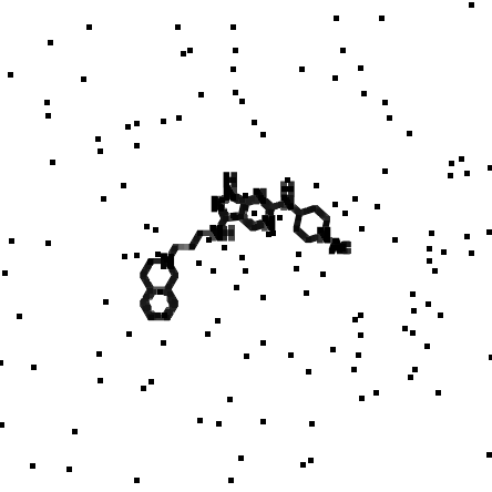 CC(=O)N1CCC(Nc2ncc3c(NCCCN4CCc5ccccc5C4)n[nH]c3n2)CC1